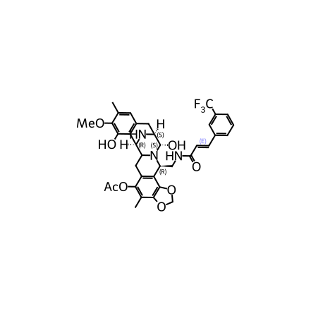 COc1c(C)cc2c(c1O)[C@H]1N[C@@H](C2)[C@H](O)N2C1Cc1c(OC(C)=O)c(C)c3c(c1[C@@H]2CNC(=O)/C=C/c1cccc(C(F)(F)F)c1)OCO3